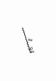 CCCCCCCCCCCCCCCCCCOC(=O)CNC.[Na]